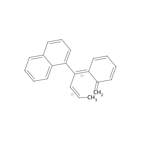 C=c1cccc/c1=C(/C=C\C)c1cccc2ccccc12